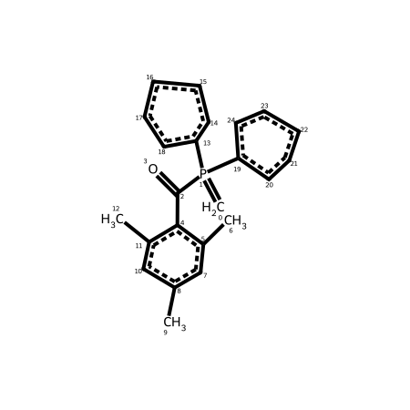 C=P(C(=O)c1c(C)cc(C)cc1C)(c1ccccc1)c1ccccc1